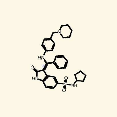 O=C1Nc2ccc(S(=O)(=O)NC3CCCC3)cc2/C1=C(/Nc1ccc(CN2CCCCC2)cc1)c1ccccc1